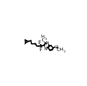 COc1ccc2nc(C(F)(F)CCCCC3CC3)c(C)nc2c1